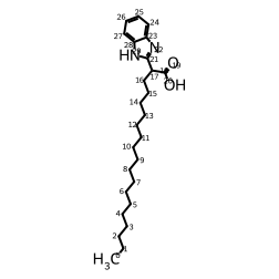 CCCCCCCCCCCCCCCCCC(C(=O)O)c1nc2ccccc2[nH]1